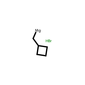 Br.[Mg][CH2]C1CCC1